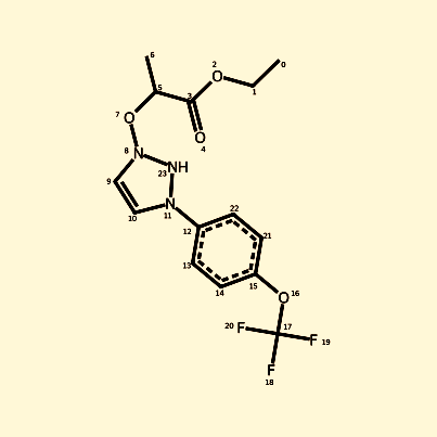 CCOC(=O)C(C)ON1C=CN(c2ccc(OC(F)(F)F)cc2)N1